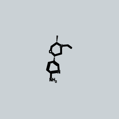 CCN1C[C@H](c2ccc(N)nc2)OC[C@@H]1C